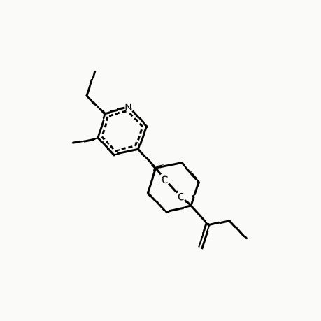 C=C(CC)C12CCC(c3cnc(CC)c(C)c3)(CC1)CC2